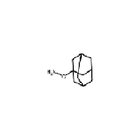 NOC12CC3CC(CC(C3)C1)C2